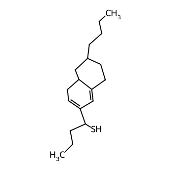 CCCCC1CCC2=CC(C(S)CCC)=CCC2C1